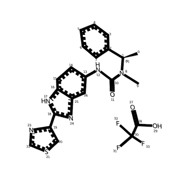 C[C@H](c1ccccc1)N(C)C(=O)Nc1ccc2[nH]c(-c3cscn3)nc2c1.O=C(O)C(F)(F)F